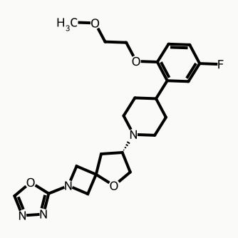 COCCOc1ccc(F)cc1C1CCN([C@@H]2COC3(C2)CN(c2nnco2)C3)CC1